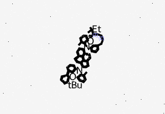 C=C1Oc2c(cccc2N(c2ccccc2C)c2ccc3ccc4c(N(c5ccccc5C)c5cccc6c5oc5c(C(C)(C)C)cccc56)ccc5ccc2c3c54)C/C=C\C=C/1C(C)(C)CC